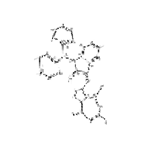 Cc1cc(C)c2ccc(/C=C3\C(=O)N(C(c4ccccc4)c4ccccc4)c4ccccc43)c-2c(C)c1